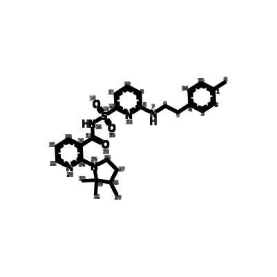 Cc1ccc(CCNc2cccc(S(=O)(=O)NC(=O)c3cccnc3N3CCC(C)C3(C)C)n2)cc1